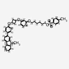 Cc1ccc(S(=O)(=O)OCCCCCCOc2cc(O[C@H]3C[C@H](Oc4ccc(-c5ccc6c7cnccc7n(C)c6c5)cn4)C3)ccn2)cc1